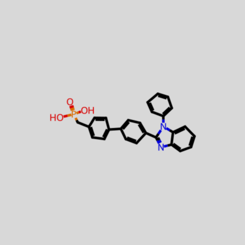 O=P(O)(O)Cc1ccc(-c2ccc(-c3nc4ccccc4n3-c3ccccc3)cc2)cc1